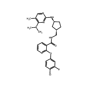 Cc1cnc(N[C@H]2CC[C@@H](CNC(=O)c3cccnc3Oc3ccc(Cl)c(F)c3)C2)nc1N(C)C